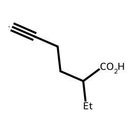 [C]#CCCC(CC)C(=O)O